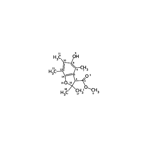 COC(=O)C1c2c(C)c(O)c(C)c(C)c2OC1(C)C